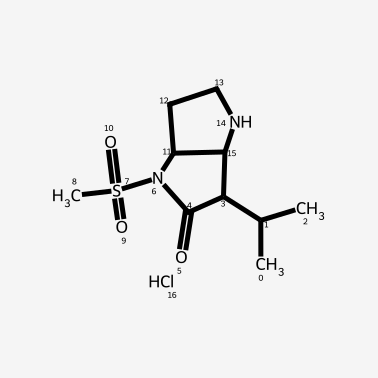 CC(C)C1C(=O)N(S(C)(=O)=O)C2CCNC12.Cl